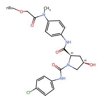 CCCCOCC(=O)N(C)c1ccc(NC(=O)[C@H]2C[C@@H](O)CN2C(=O)Nc2ccc(Cl)cc2)cc1